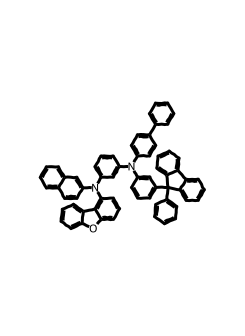 c1ccc(-c2ccc(N(c3cccc(N(c4ccc5ccccc5c4)c4cccc5oc6ccccc6c45)c3)c3cccc(C4(c5ccccc5)c5ccccc5-c5ccccc54)c3)cc2)cc1